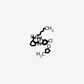 CCCCCCNC(=O)C1=C(C(=O)Nc2cc(OC3CCC(C)C3)c(Cl)cc2F)CCCC1